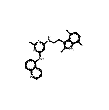 Cc1nc(NCCc2c(C)[nH]c3c(F)ccc(C)c23)cc(Nc2cccc3ncccc23)n1